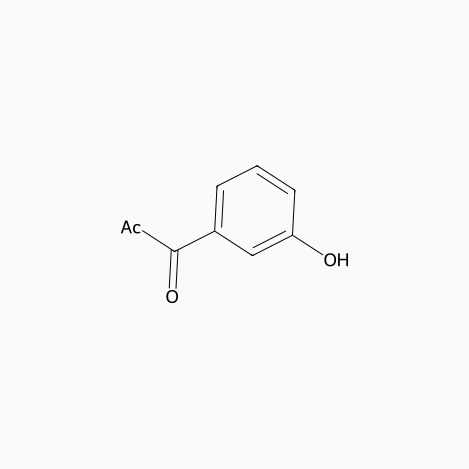 CC(=O)C(=O)c1cccc(O)c1